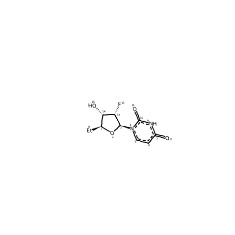 CC[C@@H]1O[C@H](n2ccc(=O)[nH]c2=O)[C@@H](F)[C@H]1O